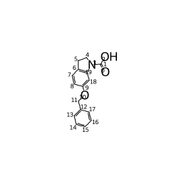 O=C(O)N1CCc2ccc(OCc3ccccc3)cc21